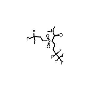 CN(C)C(=O)C(CCC(F)(F)C(F)(F)F)S(=O)(=O)CCC(F)(F)F